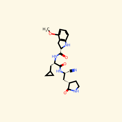 COc1cccc2c1C[C@@H](C(=O)N[C@@H](CC1CC1)C(=O)N[C@H](C#N)C[C@@H]1CCNC1=O)N2